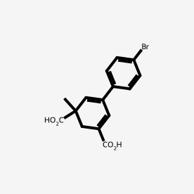 CC1(C(=O)O)C=C(c2ccc(Br)cc2)C=C(C(=O)O)C1